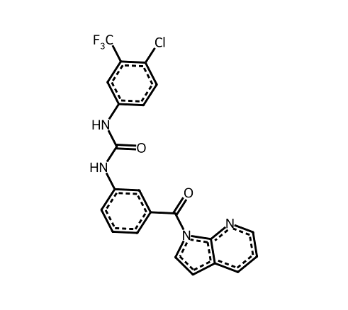 O=C(Nc1cccc(C(=O)n2ccc3cccnc32)c1)Nc1ccc(Cl)c(C(F)(F)F)c1